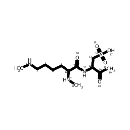 CNCCCCC(NC)C(=O)NC(CS(=O)(=O)O)C(C)=O